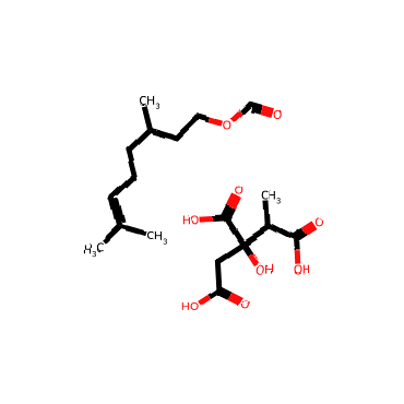 CC(C(=O)O)C(O)(CC(=O)O)C(=O)O.CC(C)=CCCC(C)CCOC=O